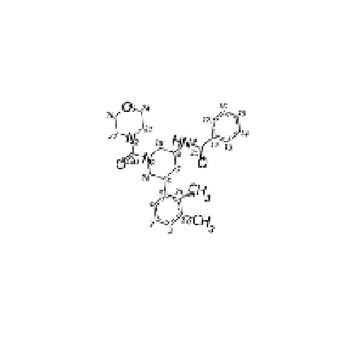 Cc1cccc(C2CC(NC(=O)c3ccccc3)CN(C(=O)N3CCOCC3)C2)c1C